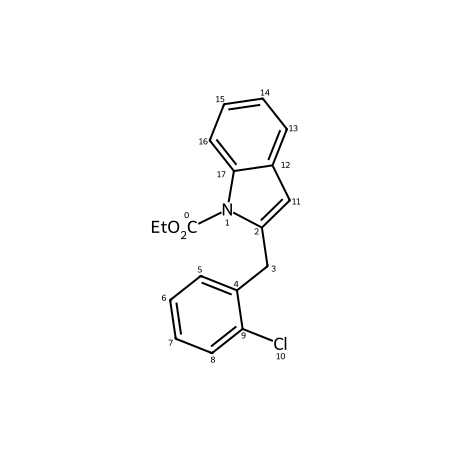 CCOC(=O)n1c(Cc2ccccc2Cl)cc2ccccc21